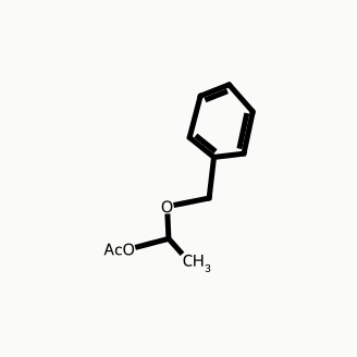 CC(=O)OC(C)OCc1ccccc1